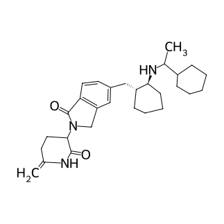 C=C1CCC(N2Cc3cc(C[C@H]4CCCC[C@@H]4NC(C)C4CCCCC4)ccc3C2=O)C(=O)N1